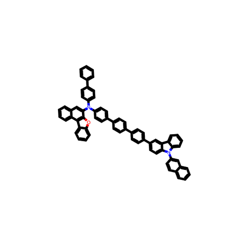 c1ccc(-c2ccc(N(c3ccc(-c4ccc(-c5ccc(-c6ccc7c(c6)c6ccccc6n7-c6ccc7ccccc7c6)cc5)cc4)cc3)c3cc4ccccc4c4c3oc3ccccc34)cc2)cc1